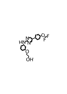 OCCOc1cccc(Nc2ncc(-c3ccc(OC(F)F)cc3)cn2)c1